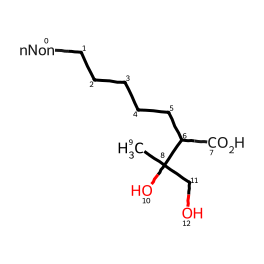 CCCCCCCCCCCCCCC(C(=O)O)C(C)(O)CO